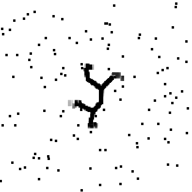 CCCC(N)CC(C)CC(C)CC